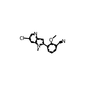 COc1c(C#N)cccc1-c1cc2ncc(Cl)cc2n1C